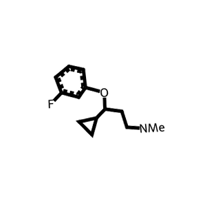 CNCCC(Oc1cccc(F)c1)C1CC1